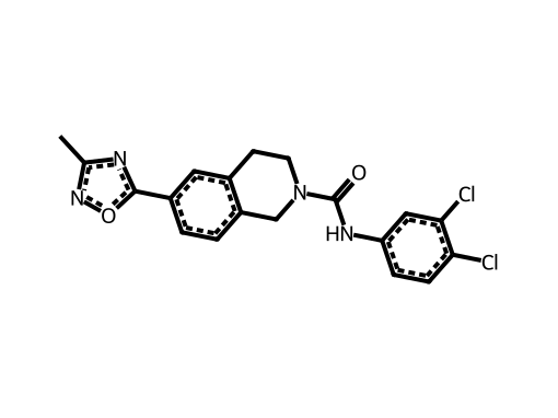 Cc1noc(-c2ccc3c(c2)CCN(C(=O)Nc2ccc(Cl)c(Cl)c2)C3)n1